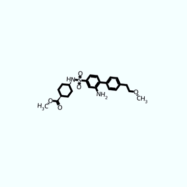 COCCc1ccc(-c2ccc(S(=O)(=O)N[C@H]3CC[C@H](C(=O)OC)CC3)cc2N)cc1